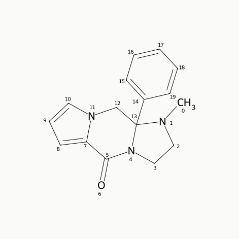 CN1CCN2C(=O)c3cccn3CC12c1ccccc1